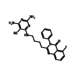 N#Cc1c(N)nc(N)nc1NCCCCc1nc2cccc(F)c2c(=O)n1-c1ccccc1